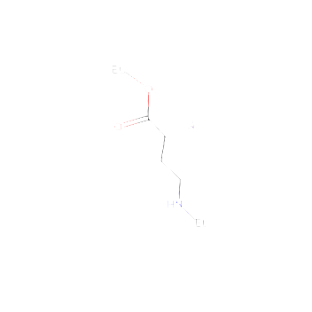 CCNCC[C@@H](I)C(=O)OCC